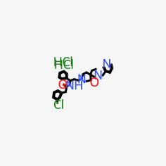 Cl.Cl.O=C(Cc1cccc(Cl)c1)NC(CCN1CCC2(CC1)CCN(Cc1cccnc1)C2=O)c1ccccc1